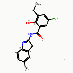 COCc1cc(Cl)cc(C(=O)NC2=Nc3ccc(C(F)(F)F)cc3C2)c1O